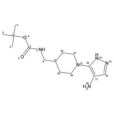 CC(C)(C)OC(=O)NCC1CCN(c2[nH]ncc2N)CC1